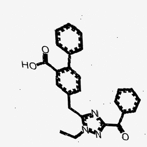 CCn1nc(C(=O)c2ccccc2)nc1Cc1ccc(-c2ccccc2)c(C(=O)O)c1